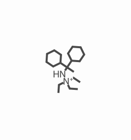 CC[N+](CC)(CC)NC(C)(C1CCCCC1)C1CCCCC1